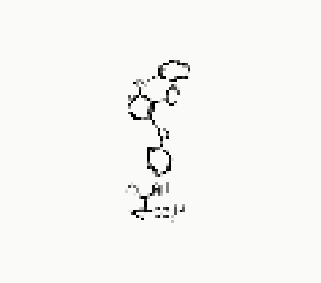 O=C(O)C1(C(=O)Nc2ccc(Oc3ccnc4c3Oc3ccccc3N4)cc2)CC1